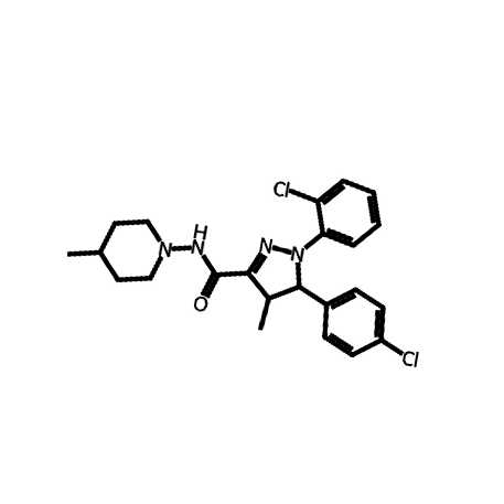 CC1CCN(NC(=O)C2=NN(c3ccccc3Cl)C(c3ccc(Cl)cc3)C2C)CC1